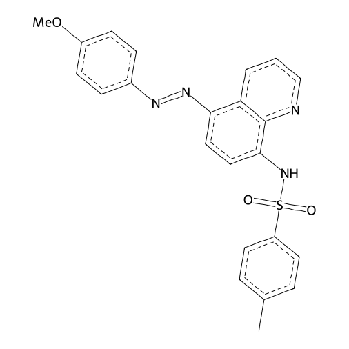 COc1ccc(/N=N/c2ccc(NS(=O)(=O)c3ccc(C)cc3)c3ncccc23)cc1